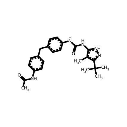 CC(=O)Nc1ccc(Cc2ccc(NC(=O)Nc3[nH]nc(C(C)(C)C)c3C)cc2)cc1